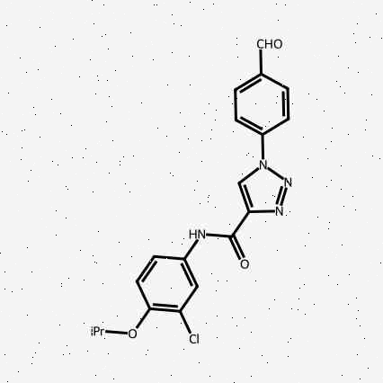 CC(C)Oc1ccc(NC(=O)c2cn(-c3ccc(C=O)cc3)nn2)cc1Cl